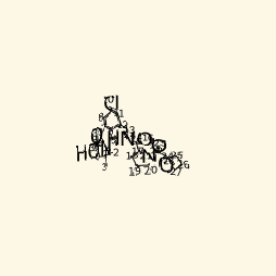 CC(C)(C)N(Cc1ccc(Cl)cc1CNC(=O)C1CCCN1C(=O)C1CCCO1)C(=O)O